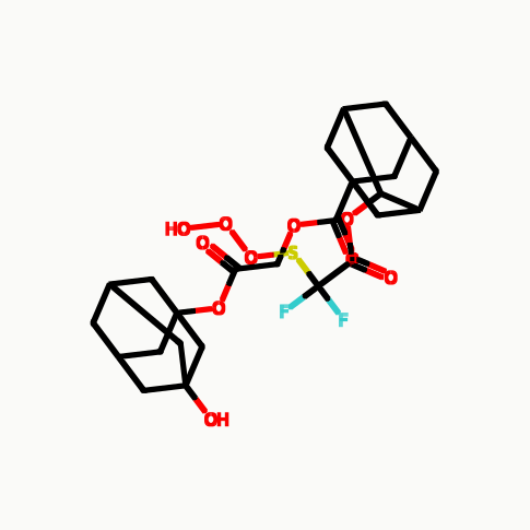 O=C(COC(=O)C12CC3CC(C1)C(OC(=O)C(F)(F)SOOO)C(C3)C2)OC12CC3CC(CC(O)(C3)C1)C2